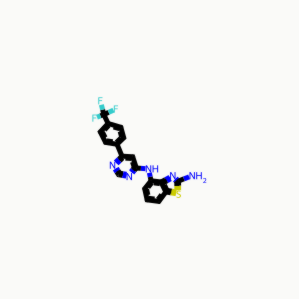 Nc1nc2c(Nc3cc(-c4ccc(C(F)(F)F)cc4)ncn3)cccc2s1